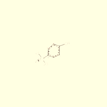 Cc1ccc([SH](=O)(Cl)Cl)cc1